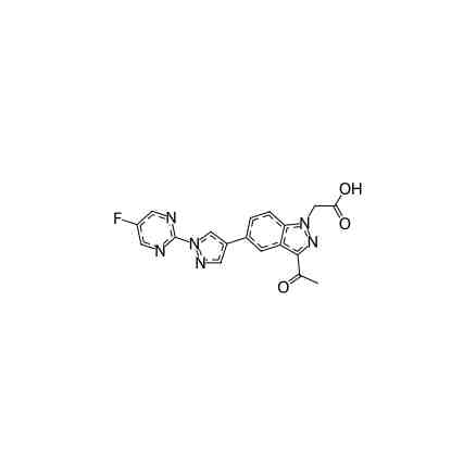 CC(=O)c1nn(CC(=O)O)c2ccc(-c3cnn(-c4ncc(F)cn4)c3)cc12